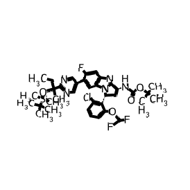 CCC(C)(O[Si](C)(C)C(C)(C)C)c1ncc(-c2cc3c(cc2F)nc2n3[C@@H](c3c(Cl)cccc3OC(F)F)C[C@H]2NC(=O)OC(C)(C)C)cn1